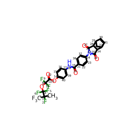 CC(F)(C(F)(F)F)C(F)(F)OC(F)(F)C(=O)Oc1ccc(NC(=O)c2ccc(N3C(=O)C4C5C=CC(C5)C4C3=O)cc2)cc1